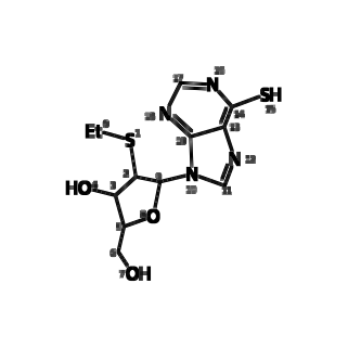 CCSC1C(O)C(CO)OC1n1cnc2c(S)ncnc21